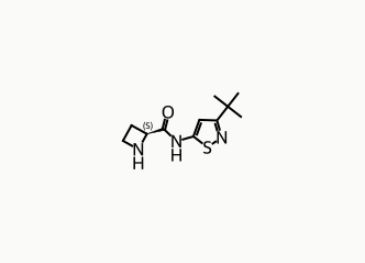 CC(C)(C)c1cc(NC(=O)[C@@H]2CCN2)sn1